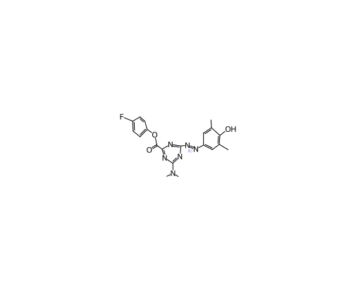 Cc1cc(/N=N/c2nc(C(=O)Oc3ccc(F)cc3)nc(N(C)C)n2)cc(C)c1O